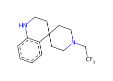 FC(F)(F)CN1CCC2(CCNc3ccccc32)CC1